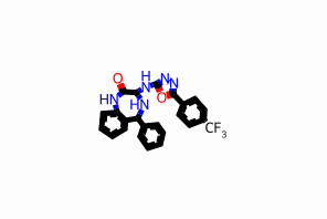 O=C1Nc2ccccc2C(c2ccccc2)NC1Nc1nnc(-c2ccc(C(F)(F)F)cc2)o1